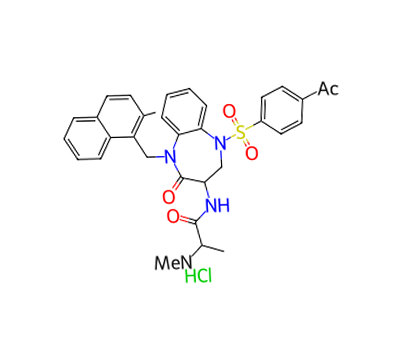 CNC(C)C(=O)NC1CN(S(=O)(=O)c2ccc(C(C)=O)cc2)c2ccccc2N(Cc2c(C)ccc3ccccc23)C1=O.Cl